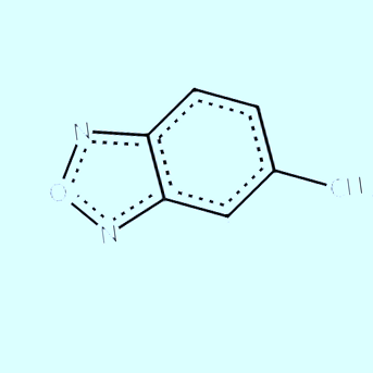 Cc1[c]c2nonc2cc1